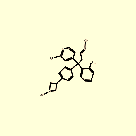 CC(=O)N1CC(c2ccc([C@](C/C=N/O)(c3ccnc(C)c3)c3ccccc3C)cc2)C1